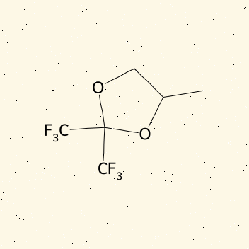 CC1COC(C(F)(F)F)(C(F)(F)F)O1